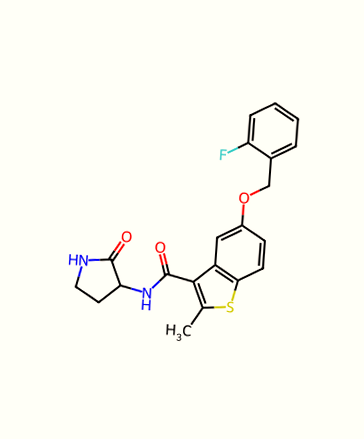 Cc1sc2ccc(OCc3ccccc3F)cc2c1C(=O)NC1CCNC1=O